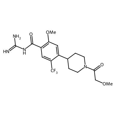 COCC(=O)N1CCC(c2cc(OC)c(C(=O)NC(=N)N)cc2C(F)(F)F)CC1